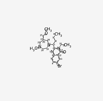 CCCC(c1nc2ccc(Br)cc2c(=O)n1CC)N1CCN(C)C[C@@H](COC)C1